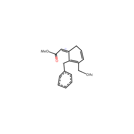 COC(=O)/C=C1/CC=CC(COC(C)=O)=C1[CH]c1ccccc1